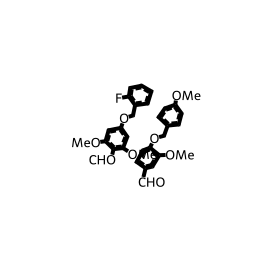 COc1cc(OCc2ccccc2F)cc(OC)c1C=O.COc1ccc(COc2ccc(C=O)cc2OC)cc1